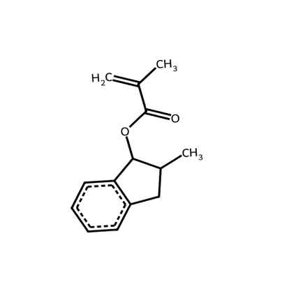 C=C(C)C(=O)OC1c2ccccc2CC1C